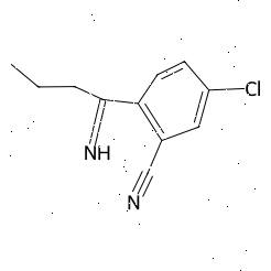 CCCC(=N)c1ccc(Cl)cc1C#N